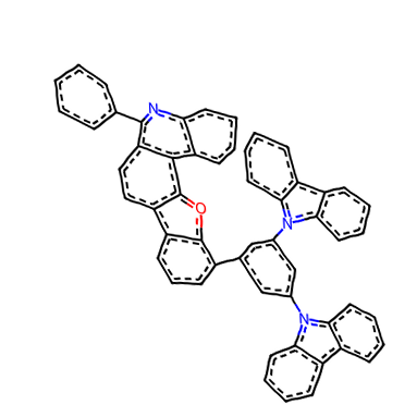 c1ccc(-c2nc3ccccc3c3c2ccc2c4cccc(-c5cc(-n6c7ccccc7c7ccccc76)cc(-n6c7ccccc7c7ccccc76)c5)c4oc23)cc1